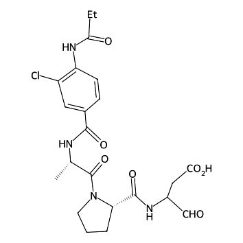 CCC(=O)Nc1ccc(C(=O)N[C@@H](C)C(=O)N2CCC[C@H]2C(=O)NC(C=O)CC(=O)O)cc1Cl